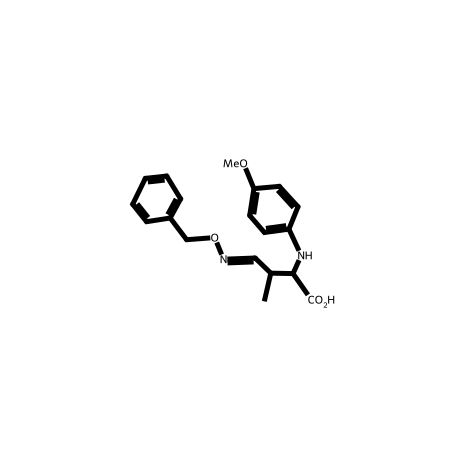 COc1ccc(NC(C(=O)O)C(C)/C=N/OCc2ccccc2)cc1